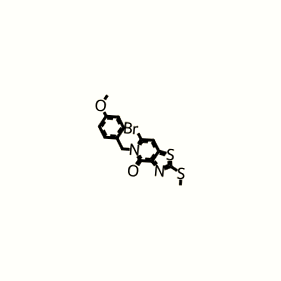 COc1ccc(Cn2c(Br)cc3sc(SC)nc3c2=O)cc1